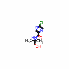 CC(C)(CO)NC(=O)c1cnc(Cl)cn1